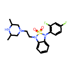 CC1CN(CCN2c3ccccc3N(c3ccc(F)cc3F)S2(=O)=O)CC(C)N1